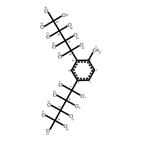 [CH2]c1ccc(C(Cl)(Cl)C(Cl)(Cl)C(Cl)(Cl)C(Cl)(Cl)Cl)cc1C(Cl)(Cl)C(Cl)(Cl)C(Cl)(Cl)C(Cl)(Cl)Cl